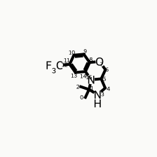 CC1(C)NCC2COc3ccc(C(F)(F)F)cc3N21